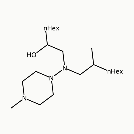 CCCCCCC(C)CN(CC(O)CCCCCC)N1CCN(C)CC1